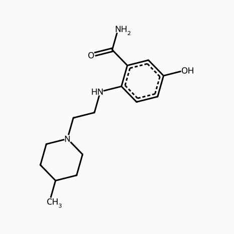 CC1CCN(CCNc2ccc(O)cc2C(N)=O)CC1